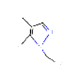 CSCn1ncc(C)c1C